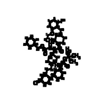 CCOc1cccc(F)c1CN1CCN(C(=O)[C@H](NC(=O)OCc2ccccc2)C2CCN(CCc3cc(Cl)ccc3-c3cccc(NC(=O)OC(C)(C)C)c3)CC2)CC1